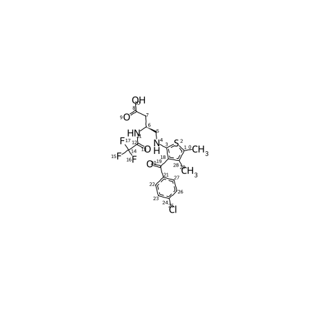 Cc1sc(NC[C@H](CC(=O)O)NC(=O)C(F)(F)F)c(C(=O)c2ccc(Cl)cc2)c1C